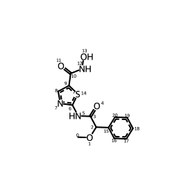 COC(C(=O)Nc1ncc(C(=O)NO)s1)c1ccccc1